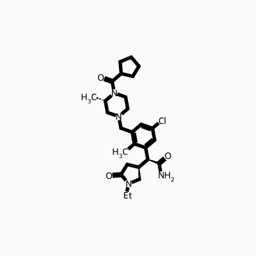 CCN1C[C@H]([C@H](C(N)=O)c2cc(Cl)cc(CN3CCN(C(=O)C4CCCC4)[C@@H](C)C3)c2C)CC1=O